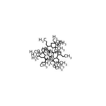 CCCC(Nc1nc(NC(CCC)C2CC(C)(C)N(OC)C(C)(C)C2)nc(NC(CCC)C2CC(C)(C)N(OC)C(C)(C)C2)n1)C1CC(C)(C)N(OC)C(C)(C)C1